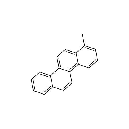 Cc1cccc2c1ccc1c3ccccc3ccc21